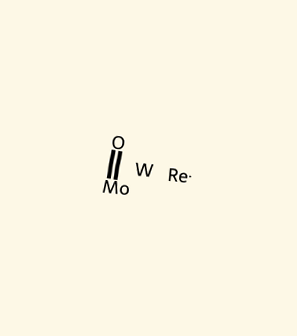 [O]=[Mo].[Re].[W]